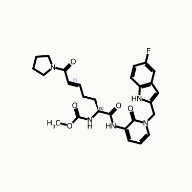 COC(=O)N[C@@H](CC/C=C/C(=O)N1CCCC1)C(=O)Nc1cccn(Cc2cc3cc(F)ccc3[nH]2)c1=O